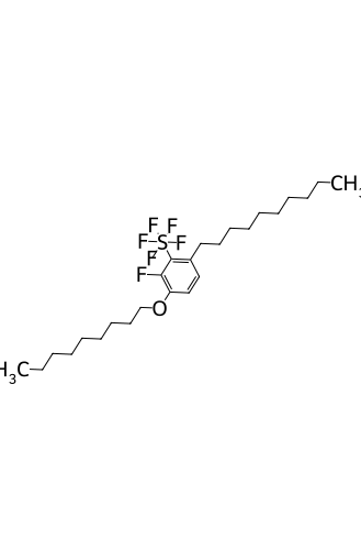 CCCCCCCCCCc1ccc(OCCCCCCCCC)c(F)c1S(F)(F)(F)(F)F